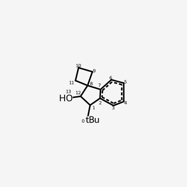 CC(C)(C)C1c2ccccc2C2(CCC2)C1O